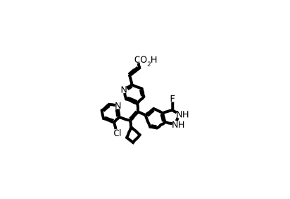 O=C(O)/C=C/c1ccc(/C(=C(\c2ncccc2Cl)C2CCC2)c2ccc3c(c2)C(F)NN3)cn1